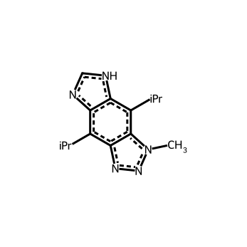 CC(C)c1c2nc[nH]c2c(C(C)C)c2c1nnn2C